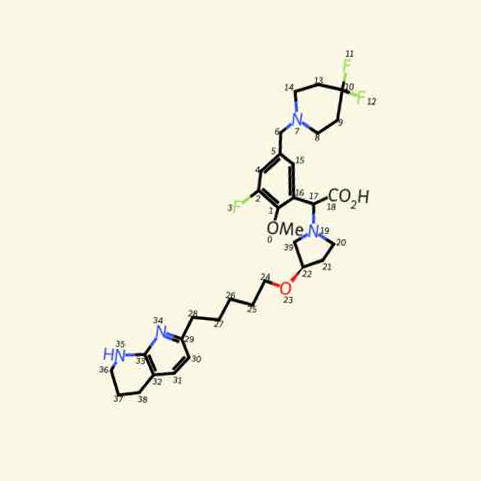 COc1c(F)cc(CN2CCC(F)(F)CC2)cc1C(C(=O)O)N1CC[C@@H](OCCCCCc2ccc3c(n2)NCCC3)C1